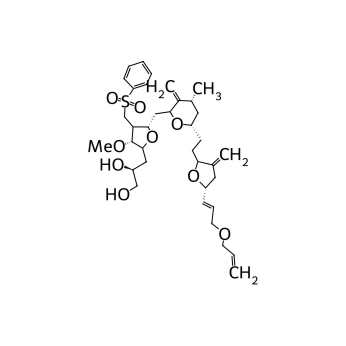 C=CCOC/C=C/[C@H]1CC(=C)C(CC[C@H]2C[C@@H](C)C(=C)C(C[C@@H]3OC(C[C@H](O)CO)[C@H](OC)C3CS(=O)(=O)c3ccccc3)O2)O1